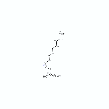 CCCCCC[C@@H](O)C/C=C\CCCCCCC[C]=O